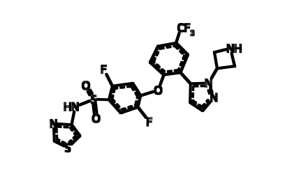 O=S(=O)(Nc1cscn1)c1cc(F)c(Oc2ccc(C(F)(F)F)cc2-c2ccnn2C2CNC2)cc1F